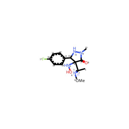 CO/N=C(\C)C1(NO)C(=O)N(C)NC1c1ccc(F)cc1